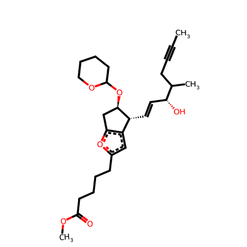 CC#CCC(C)[C@H](O)/C=C/[C@@H]1c2cc(CCCCC(=O)OC)oc2C[C@H]1OC1CCCCO1